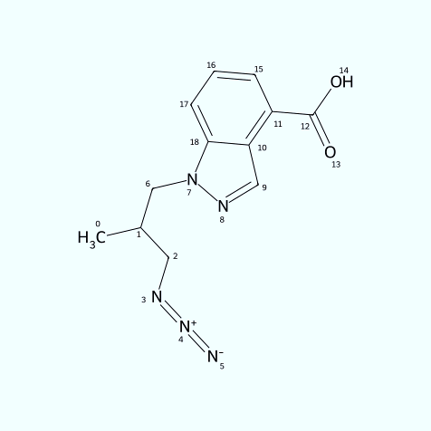 CC(CN=[N+]=[N-])Cn1ncc2c(C(=O)O)cccc21